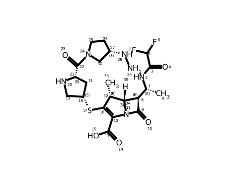 C[C@@H](NC(=O)C(F)F)[C@H]1C(=O)N2C(C(=O)O)=C(S[C@@H]3CN[C@H](C(=O)N4CC[C@H](NN)C4)C3)[C@H](C)[C@H]12